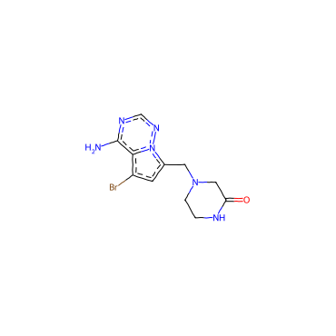 Nc1ncnn2c(CN3CCNC(=O)C3)cc(Br)c12